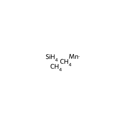 C.C.[Mn].[SiH4]